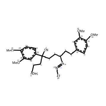 CCCCCCCCCCCCC(C#N)(CCC(CCc1ccc(OC)c(OC)c1)/N=N/CC)c1ccc(OC)c(OC)c1